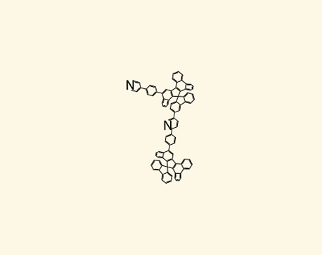 c1ccc2c(c1)-c1ccccc1C21c2c(cc(-c3ccc(-c4ccc(-c5ccc6c(c5)-c5ccccc5C65c6c(cc(-c7ccc(-c8ccncc8)cc7)c7ccccc67)-c6c5c5ccccc5c5ccccc65)cn4)cc3)c3ccccc23)-c2c1c1ccccc1c1ccccc21